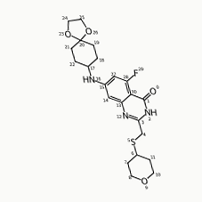 O=c1[nH]c(CSC2CCOCC2)nc2cc(NC3CCC4(CC3)OCCO4)cc(F)c12